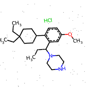 CCC(c1cc(OC)ccc1C1CCC(CC)(CC)CC1)N1CCNCC1.Cl